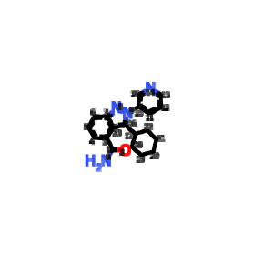 NC(=O)c1cccc2nn(-c3cccnc3)c(C3CCCCC3)c12